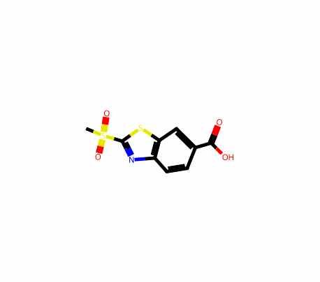 CS(=O)(=O)c1nc2ccc(C(=O)O)cc2s1